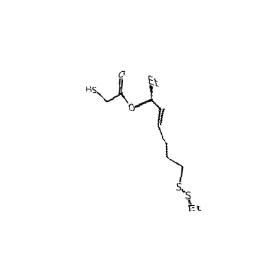 CCSSCCC/C=C/[C@H](CC)OC(=O)CS